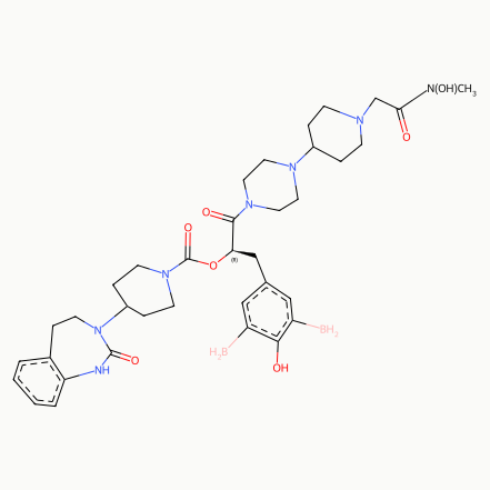 Bc1cc(C[C@@H](OC(=O)N2CCC(N3CCc4ccccc4NC3=O)CC2)C(=O)N2CCN(C3CCN(CC(=O)N(C)O)CC3)CC2)cc(B)c1O